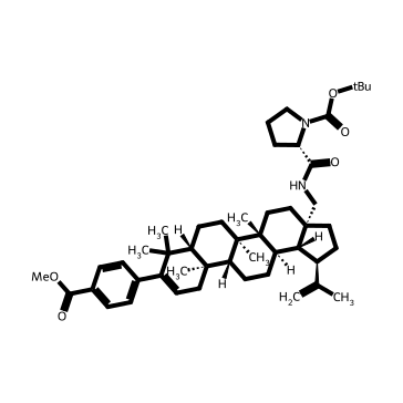 C=C(C)[C@@H]1CC[C@]2(CNC(=O)[C@@H]3CCCN3C(=O)OC(C)(C)C)CC[C@]3(C)[C@H](CC[C@@H]4[C@@]5(C)CC=C(c6ccc(C(=O)OC)cc6)C(C)(C)[C@@H]5CC[C@]43C)[C@@H]12